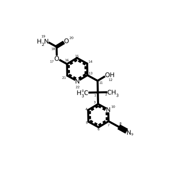 CC(C)(c1cccc(C#N)n1)C(O)c1ccc(OC(N)=O)cn1